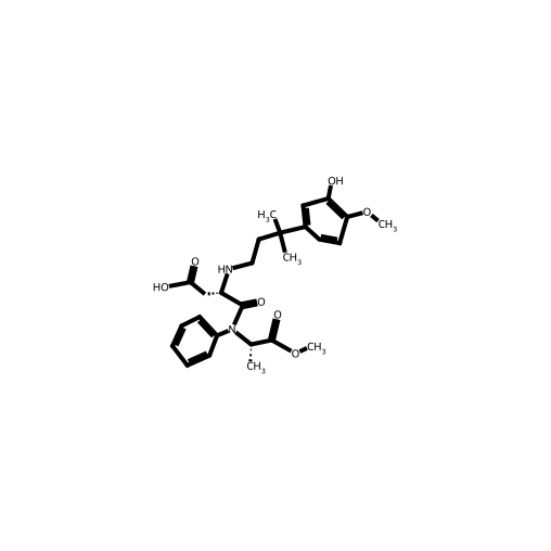 COC(=O)[C@H](C)N(C(=O)[C@H](CC(=O)O)NCCC(C)(C)c1ccc(OC)c(O)c1)c1ccccc1